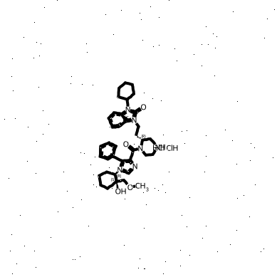 COC[C@]1(O)CCCC[C@H]1n1cnc(C(=O)N2CCNC[C@H]2CCn2c(=O)n(C3CCCCC3)c3ccccc32)c1-c1ccccc1.Cl.Cl